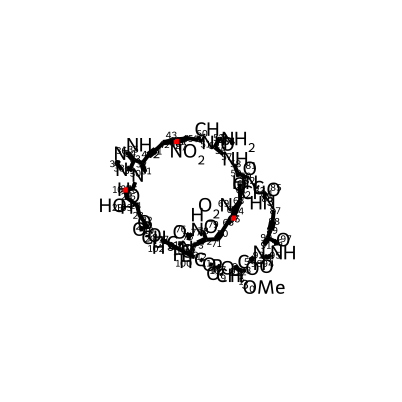 COC[C@H]1O[C@@H]2C[C@@H]1OP(C)(=O)OC[C@H]1O[C@@H]3C[C@@H]1OP(C)(=O)OC[C@H]1O[C@H](C[C@@H]1O)n1cc(c4c(N)ncnc41)C#Cc1ccc(c([N+](=O)[O-])c1)C(C)NC(CN)C(=O)NCC(OC(C)c1ccc(cc1[N+](=O)[O-])C#Cc1cn3c(=O)[nH]c1=O)C(=O)NCC(=O)NCC#Cc1cn2c(=O)[nH]c1=O